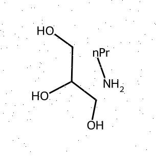 CCCN.OCC(O)CO